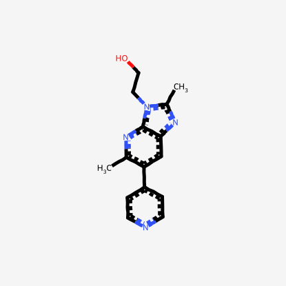 Cc1nc2c(cc1-c1ccncc1)nc(C)n2CCO